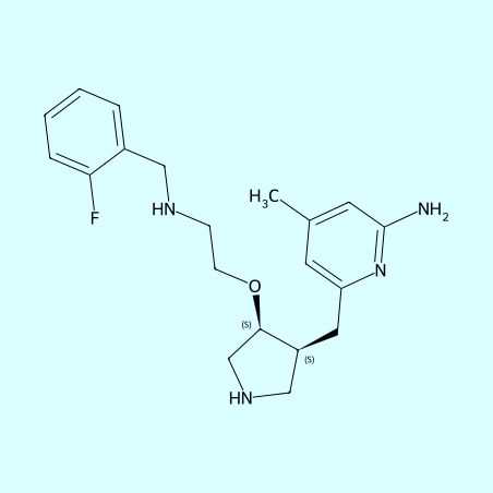 Cc1cc(N)nc(C[C@H]2CNC[C@H]2OCCNCc2ccccc2F)c1